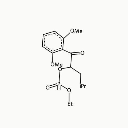 CCO[PH](=O)OC(CC(C)C)C(=O)c1c(OC)cccc1OC